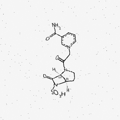 NC(=O)c1ccc[n+](CC(=O)N2CC[C@@H]3[C@H]2C(=O)N3S(=O)(=O)O)c1